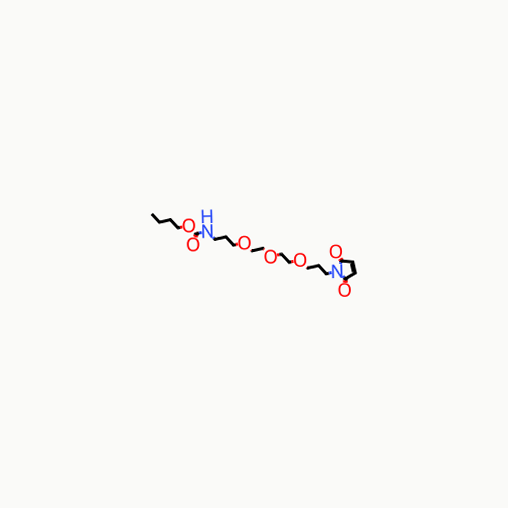 CCCCOC(=O)NCCCOCCOCCOCCCN1C(=O)C=CC1=O